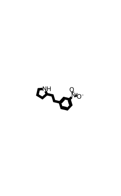 O=[N+]([O-])c1cccc(CCC2CCCN2)c1